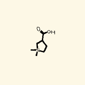 C[Si]1(C)CCC(C(=O)O)C1